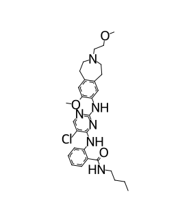 CCCCNC(=O)c1ccccc1Nc1nc(Nc2cc3c(cc2OC)CCN(CCOC)CC3)ncc1Cl